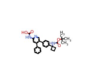 CC(C)(C)OC(=O)NC1(c2ccc(-c3cnc(NC(=O)O)cc3-c3ccccc3)cc2)CCC1